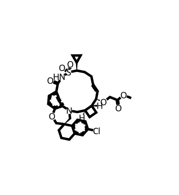 COC(=O)CO[C@H]1/C=C/CC[C@H](C2CC2)S(=O)(=O)NC(=O)c2ccc3c(c2)N(C[C@@H]2CC[C@H]21)C[C@@]1(CCCc2cc(Cl)ccc21)CO3